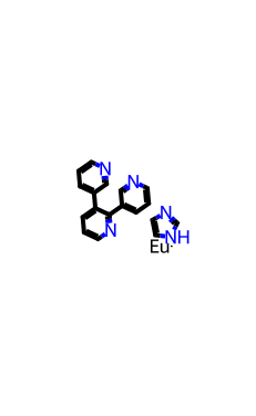 [Eu].c1c[nH]cn1.c1cncc(-c2cccnc2-c2cccnc2)c1